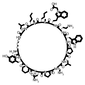 CCCC[C@H]1C(=O)N(C)[C@@H](CCCC)C(=O)N[C@@H](CC(C)C)C(=O)NCCC[C@H](N)C(=O)N[C@@H](Cc2ccc(O)cc2)C(=O)N2CCCC[C@H]2C(=O)N[C@@H](CC(N)=O)C(=O)N2CCC[C@H]2C(=O)N[C@@H](CN)C(=O)N[C@@H](CC(C)C)C(=O)N2CCC[C@H]2C(=O)N[C@@H](Cc2c[nH]c3ccccc23)C(=O)N[C@@H](CCN)C(=O)N[C@@H](CCc2cn(CC(=O)O)c3ccccc23)C(=O)N1C